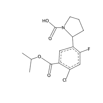 CC(C)OC(=O)c1cc(C2CCCN2C(=O)O)c(F)cc1Cl